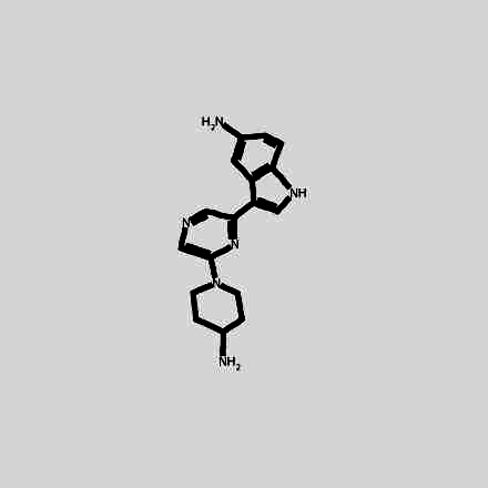 Nc1ccc2[nH]cc(-c3cncc(N4CCC(N)CC4)n3)c2c1